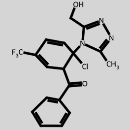 Cc1nnc(CO)n1C1(Cl)C=CC(C(F)(F)F)=CC1C(=O)c1ccccc1